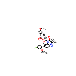 COc1ccc(C(=O)OCc2c(-c3ccc(F)cc3OC)ccc3c2N(C)C(=O)C(C)(C)N3)cc1